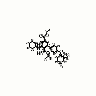 CCOC(=O)c1cc(-c2ccc(CN3CCN(C)CC34COC4)cc2)c(C(=N)OC(C)C)c(NC2CCCCC2)n1